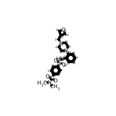 CN(C)S(=O)(=O)c1ccc(S(=O)(=O)Nc2ccccc2N2CCN(CC3COC3)CC2)cc1